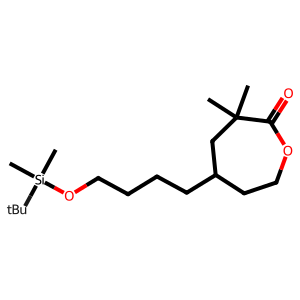 CC1(C)CC(CCCCO[Si](C)(C)C(C)(C)C)CCOC1=O